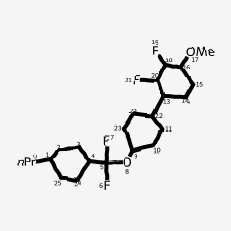 CCCC1CCC(C(F)(F)OC2CCC(C3CCC(OC)C(F)C3F)CC2)CC1